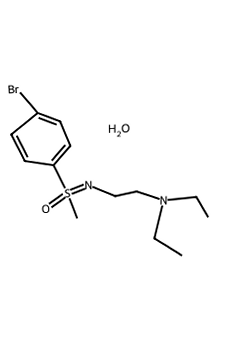 CCN(CC)CCN=S(C)(=O)c1ccc(Br)cc1.O